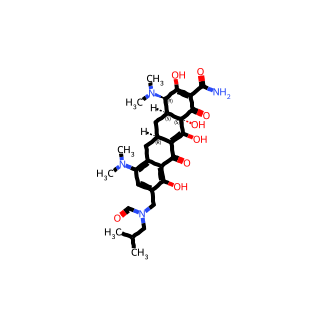 CC(C)CN(C=O)Cc1cc(N(C)C)c2c(c1O)C(=O)C1=C(O)[C@]3(O)C(=O)C(C(N)=O)=C(O)[C@H](N(C)C)[C@@H]3C[C@@H]1C2